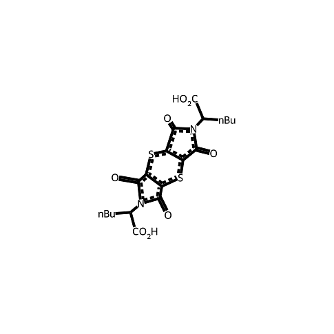 CCCCC(C(=O)O)n1c(=O)c2sc3c(=O)n(C(CCCC)C(=O)O)c(=O)c3sc2c1=O